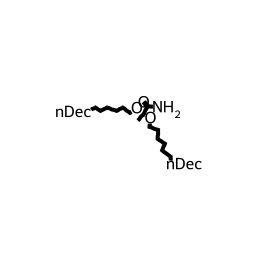 CCCCCCCCCCCCCCCCOC(C)(OCCCCCCCCCCCCCCCC)C(N)=O